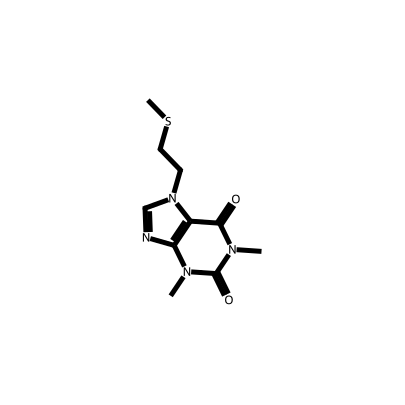 CSCCn1cnc2c1c(=O)n(C)c(=O)n2C